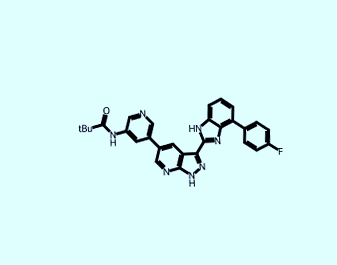 CC(C)(C)C(=O)Nc1cncc(-c2cnc3[nH]nc(-c4nc5c(-c6ccc(F)cc6)cccc5[nH]4)c3c2)c1